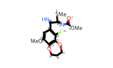 COC(=O)N=C(SC)C(=N)c1cc(OC)c2c(c1F)OCCCO2